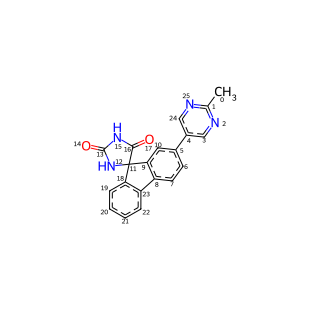 Cc1ncc(-c2ccc3c(c2)C2(NC(=O)NC2=O)c2ccccc2-3)cn1